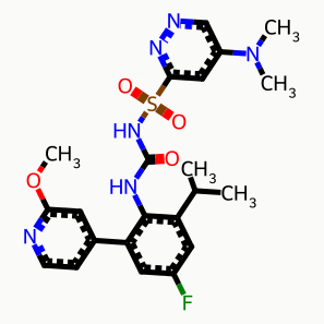 COc1cc(-c2cc(F)cc(C(C)C)c2NC(=O)NS(=O)(=O)c2cc(N(C)C)cnn2)ccn1